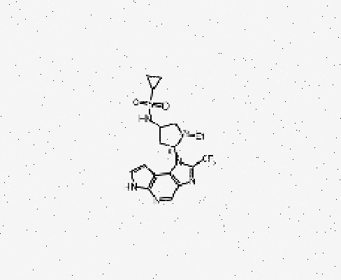 CC[C@@H]1CC(NS(=O)(=O)C2CC2)C[C@@H]1n1c(C(F)(F)F)nc2cnc3[nH]ccc3c21